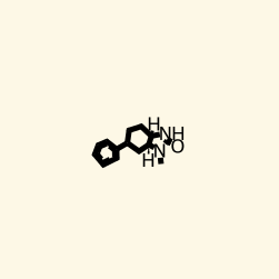 CN1C(=O)N[C@H]2CCC(c3ccccc3)C[C@@H]21